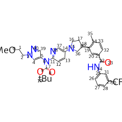 COCCn1cc(N(C(=O)OC(C)(C)C)c2ccc(N3CC[C@@H](c4cc(C(=O)Nc5cccc(C(F)(F)F)c5)ccc4C)C3)cn2)cn1